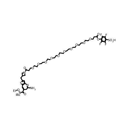 CCON(C(=O)C1=Cc2sc(CC3CN(C(=O)CCOCCOCCOCCOCCOCCOCCOCCOCCOCCOCCC(=O)Oc4c(F)c(F)c(S(=O)(=O)O)c(F)c4F)C3)cc2N=C(N)C1)C(C)CC